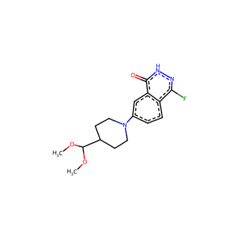 COC(OC)C1CCN(c2ccc3c(F)n[nH]c(=O)c3c2)CC1